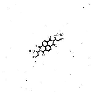 CC(C)CC(OC=O)N1C(=O)c2ccc3c4c(ccc(c24)C1=O)C(=O)N(C(CC(C)C)C(=O)O)C3=O